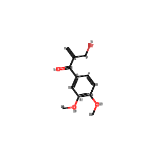 C=C(CBr)C(=O)c1ccc(OC)c(OC)c1